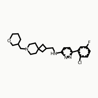 Fc1ccc(Cl)c(-c2ccc(NCC3CC4(CCN(CC5CCCOC5)CC4)C3)nn2)c1